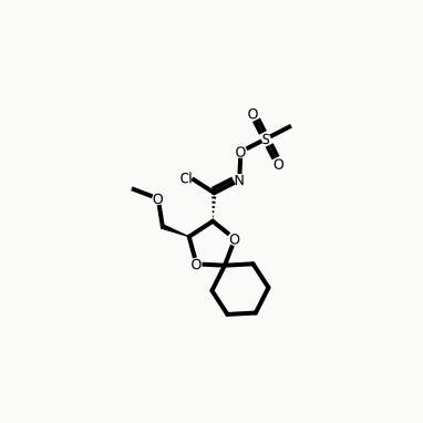 COC[C@@H]1OC2(CCCCC2)O[C@H]1/C(Cl)=N/OS(C)(=O)=O